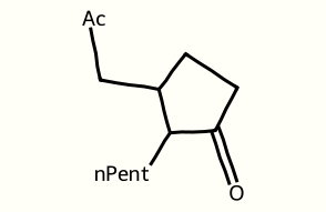 CCCCCC1C(=O)CCC1CC(C)=O